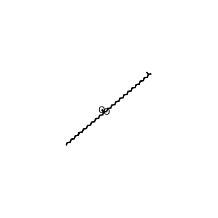 CCCCCCC=CCCCCCCCCCCCC(=O)OCCCCCCCCCCCCCCCCCCCCC(C)C